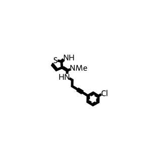 CN/C(NCCC#Cc1cccc(Cl)c1)=C1/C=CSC1=N